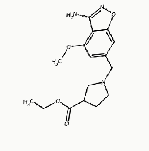 CCOC(=O)C1CCN(Cc2cc(OC)c3c(N)noc3c2)C1